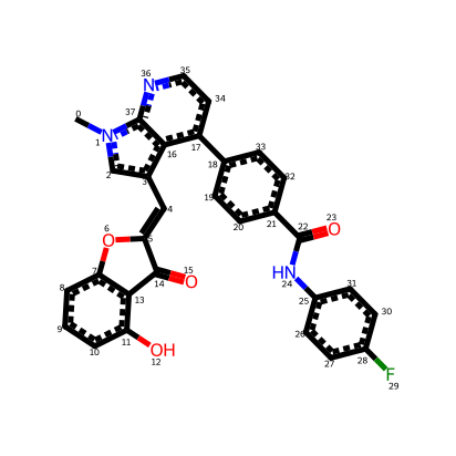 Cn1cc(/C=C2\Oc3cccc(O)c3C2=O)c2c(-c3ccc(C(=O)Nc4ccc(F)cc4)cc3)ccnc21